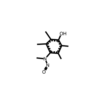 Cc1c(C)c(N(C)N=O)c(C)c(C)c1O